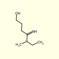 CCN(C)C(=N)CCCO